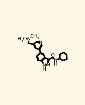 CN(C)Cc1cncc(-c2ccc3[nH]nc(C(=O)NC4CCCCC4)c3c2)c1